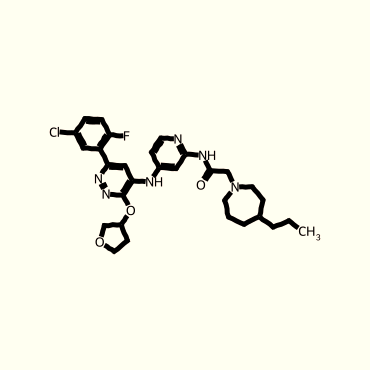 CCCC1CCCN(CC(=O)Nc2cc(Nc3cc(-c4cc(Cl)ccc4F)nnc3OC3CCOC3)ccn2)CC1